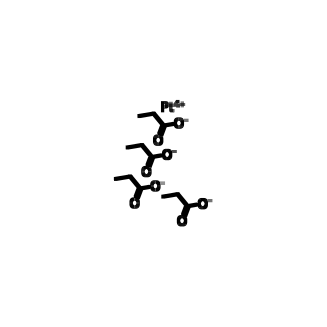 CCC(=O)[O-].CCC(=O)[O-].CCC(=O)[O-].CCC(=O)[O-].[Pt+4]